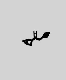 C1C2CC2C1NCC1C2CC12